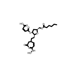 CCCCCC(=O)OC[C@@H]1C[C@@H](OC(=O)/C=C\C(=O)O)[C@H](CCC2C=CC(NO)=NC(=O)C2)O1